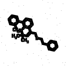 CC1(C)C=C(CSCCc2ccccc2)c2cccc(-c3ccccc3C(F)(F)F)c2N1